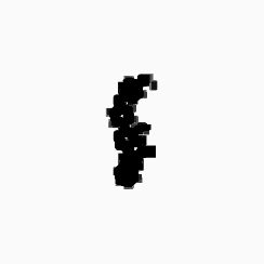 CC(C)[C@H](NC(=O)c1nc2ccccc2nc1O)C(=O)N1CCC(Oc2ccc(C(F)(F)F)cn2)CC1